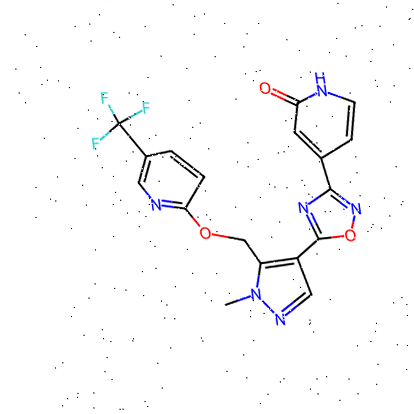 Cn1ncc(-c2nc(-c3cc[nH]c(=O)c3)no2)c1COc1ccc(C(F)(F)F)cn1